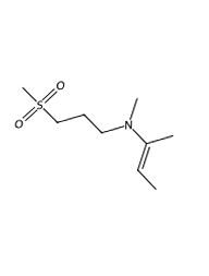 C/C=C(\C)N(C)CCCS(C)(=O)=O